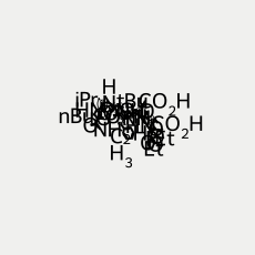 CCCCC(NC(=O)[C@H](CC(C)C)NC(=O)[C@@H](NC(=O)[C@H](Cc1ccccc1C)NC(=O)[C@H](CCC(=O)O)NC(=O)[C@H](CC(=O)O)NC(=O)CP(=O)(OCC)OCC)C(C)(C)C)C(=O)C(N)=O